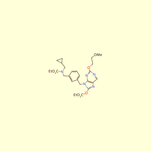 CCOC(=O)Oc1nc2cnc(OCCOC)nc2n1Cc1cccc(CN(CC2CC2)C(=O)OCC)c1